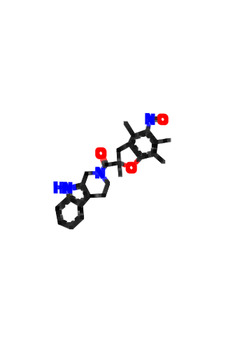 Cc1c(C)c2c(c(C)c1N=O)CC(C)(C(=O)N1CCc3c([nH]c4ccccc34)C1)O2